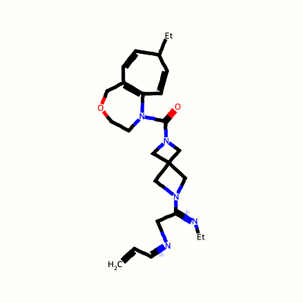 C=C/C=N\C/C(=N\CC)N1CC2(CN(C(=O)N3CCOCC4=C3C=CC(CC)C=C4)C2)C1